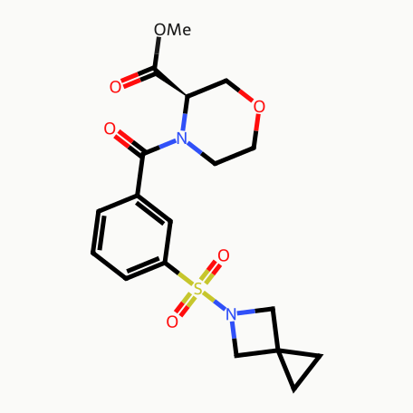 COC(=O)[C@H]1COCCN1C(=O)c1cccc(S(=O)(=O)N2CC3(CC3)C2)c1